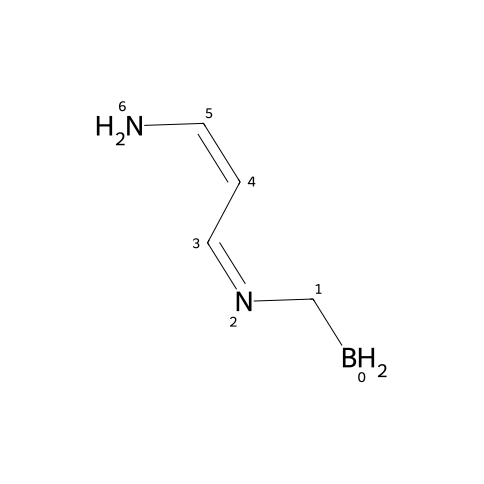 BC/N=C\C=C/N